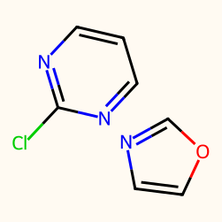 Clc1ncccn1.c1cocn1